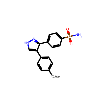 COc1ccc(-c2c[nH]nc2-c2ccc(S(N)(=O)=O)cc2)cc1